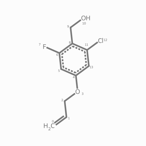 C=CCOc1cc(F)c(CO)c(Cl)c1